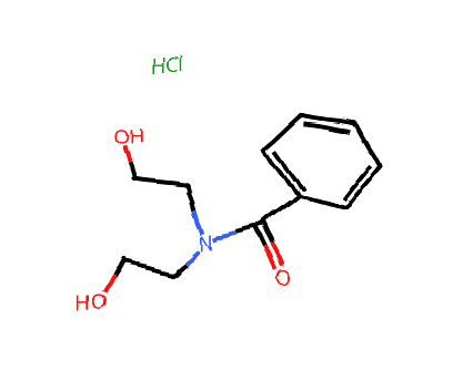 Cl.O=C(c1ccccc1)N(CCO)CCO